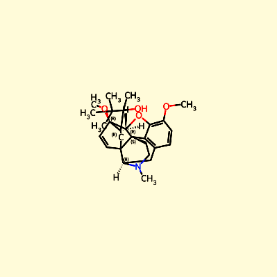 COc1ccc2c3c1O[C@H]1[C@@]4(OC)C=CC5(C[C@@H]4C(C)(O)C(C)(C)C)[C@@H](C2)N(C)CC[C@]315